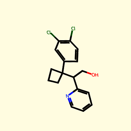 OCC(c1ccccn1)C1(c2ccc(Cl)c(Cl)c2)CCC1